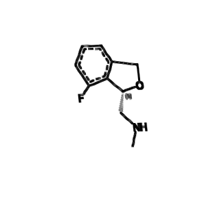 CNC[C@H]1OCc2cccc(F)c21